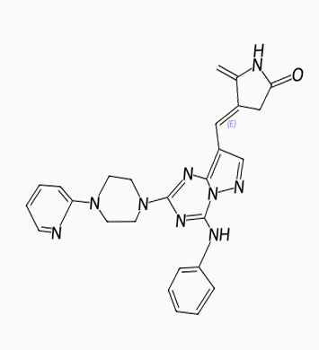 C=C1NC(=O)C/C1=C\c1cnn2c(Nc3ccccc3)nc(N3CCN(c4ccccn4)CC3)nc12